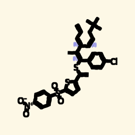 C=C/C=C(\C=C/CC(C)(C)C)C(/C)=C(/SC(=C)c1ccc(S(=O)(=O)c2ccc([N+](=O)[O-])cc2)s1)c1ccc(Cl)cc1